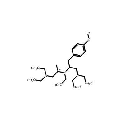 CCOc1ccc(CC(CN(CC(=O)O)CC(=O)O)N(CC(=O)O)[C@H](C)CN(CC(=O)O)CC(=O)O)cc1